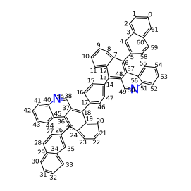 c1ccc2cc(-c3c4ccccc4c(-c4ccc(-c5c6ccccc6c(-c6ccc7ccccc7c6)c6c5cnc5ccccc56)cc4)c4cnc5ccccc5c34)ccc2c1